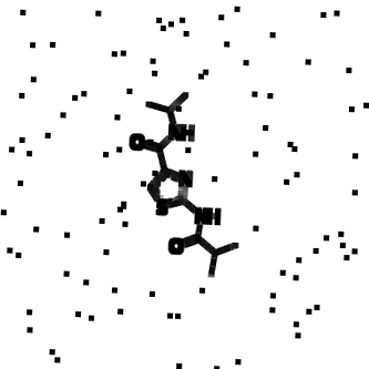 CC(C)NC(=O)c1csc(NC(=O)C(C)C)n1